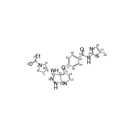 CCC(=O)N1CC[C@@H](Nc2n[nH]c3nccc(Oc4ccc(C(=O)Nc5ncc(C)s5)cc4)c23)C1